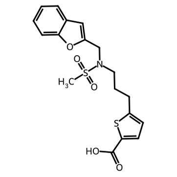 CS(=O)(=O)N(CCCc1ccc(C(=O)O)s1)Cc1cc2ccccc2o1